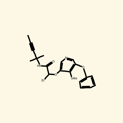 CC#CC(C)(C)NC(=O)C(CC)Oc1cncc(Oc2ccccc2)c1SC